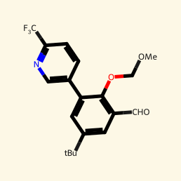 COCOc1c(C=O)cc(C(C)(C)C)cc1-c1ccc(C(F)(F)F)nc1